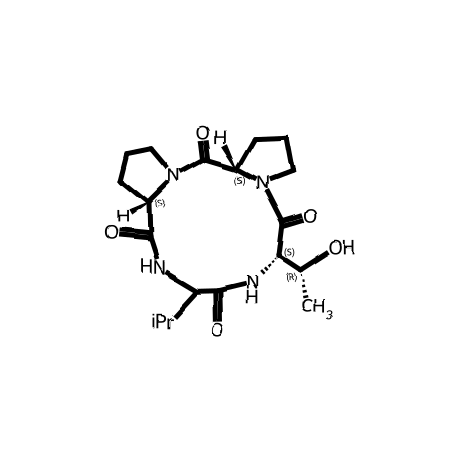 CC(C)C1NC(=O)[C@@H]2CCCN2C(=O)[C@@H]2CCCN2C(=O)[C@H]([C@@H](C)O)NC1=O